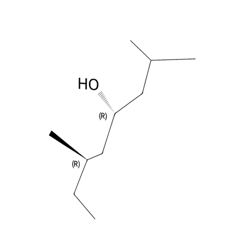 CC[C@@H](C)C[C@H](O)CC(C)C